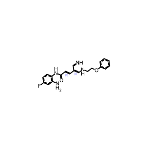 N=CC(=C\NCCOc1ccccc1)/C=C/C(=O)Nc1ccc(F)cc1N